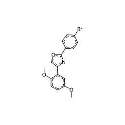 COc1ccc(OC)c(-c2coc(-c3ccc(Br)cc3)n2)c1